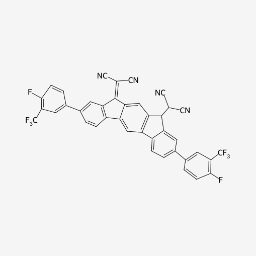 N#CC(C#N)=C1c2cc(-c3ccc(F)c(C(F)(F)F)c3)ccc2-c2cc3c(cc21)C(C(C#N)C#N)c1cc(-c2ccc(F)c(C(F)(F)F)c2)ccc1-3